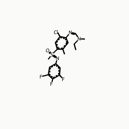 CCN(C)/C=N\c1cc(C)c(S(C)(=O)=Nc2cc(F)c(F)c(F)c2)cc1Cl